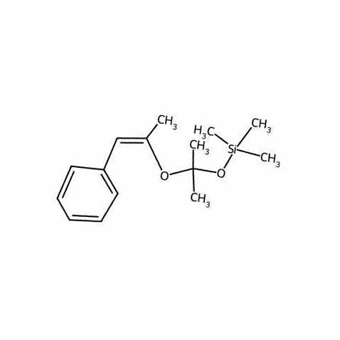 CC(=Cc1ccccc1)OC(C)(C)O[Si](C)(C)C